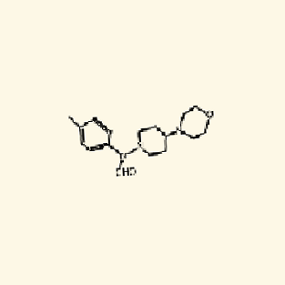 Cc1ccc(N(C=O)N2CCC(N3CCOCC3)CC2)cc1